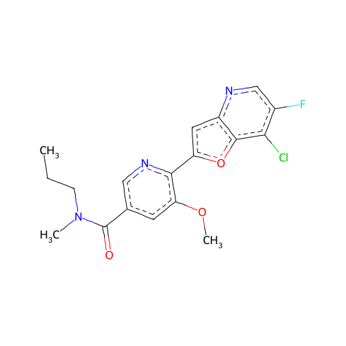 CCCN(C)C(=O)c1cnc(-c2cc3ncc(F)c(Cl)c3o2)c(OC)c1